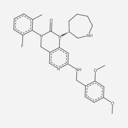 COc1ccc(CNc2cc3c(cn2)CN(c2c(C)cccc2F)C(=O)N3[C@H]2CCCCNC2)c(OC)c1